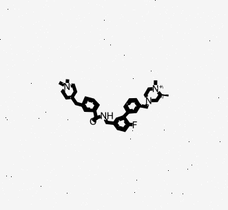 C[C@H]1CN(Cc2cccc(-c3cc(CNC(=O)c4cccc(CC5CC[N+](C)(C)CC5)c4)ccc3F)c2)CC[N+]1(C)C